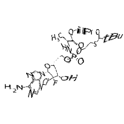 CC(C)OC(=O)[C@H](C)N[P@](=O)(OCCSC(=O)C(C)(C)C)OC[C@H]1O[C@@H](n2cnc3c(N)ncnc32)[C@@](F)(Cl)[C@@H]1O